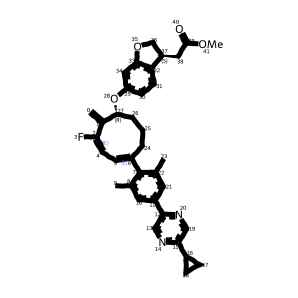 C=C1/C(F)=C\C=C(\c2c(C)cc(-c3cnc(C4CC4)cn3)cc2C)CCC[C@H]1Oc1ccc2c(c1)OC[C@H]2CC(=O)OC